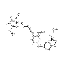 CCCNc1nc(Nc2ccc3cnn(CCOC)c3c2)ncc1C#CCCCNC(=O)[C@H](C)N(C)C(=O)OC(C)(C)C